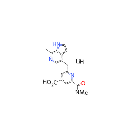 CNC(=O)c1cc(C(=O)O)cc(Cc2cnc(C)c3[nH]ccc23)n1.[LiH]